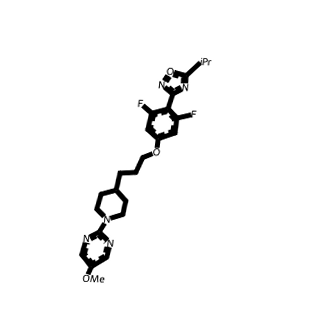 COc1cnc(N2CCC(CCCOc3cc(F)c(-c4noc(C(C)C)n4)c(F)c3)CC2)nc1